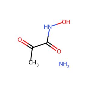 CC(=O)C(=O)NO.N